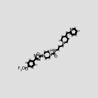 O=C(NCCCN1CCC(Cc2ccccn2)CC1)N1CCN(c2nc(-c3ccc(OC(F)(F)F)cc3)no2)CC1